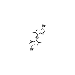 CC1CC2C(Br)CSC2C1[Si](C)(C)C1C(C)CC2C(Br)CSC21